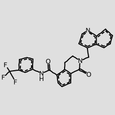 O=C(Nc1cccc(C(F)(F)F)c1)c1cccc2c1CCN(Cc1ccnc3ccccc13)C2=O